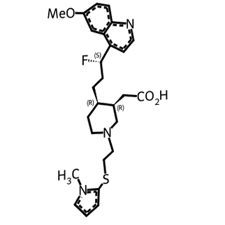 COc1ccc2nccc([C@@H](F)CC[C@@H]3CCN(CCSc4cccn4C)C[C@@H]3CC(=O)O)c2c1